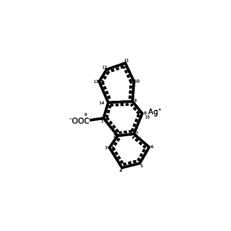 O=C([O-])c1c2ccccc2cc2ccccc12.[Ag+]